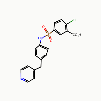 O=C(O)c1cc(S(=O)(=O)Nc2ccc(Cc3ccncc3)cc2)ccc1Cl